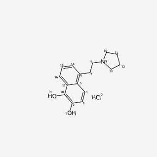 Cl.Oc1ccc2c(CCN3CCCC3)cccc2c1O